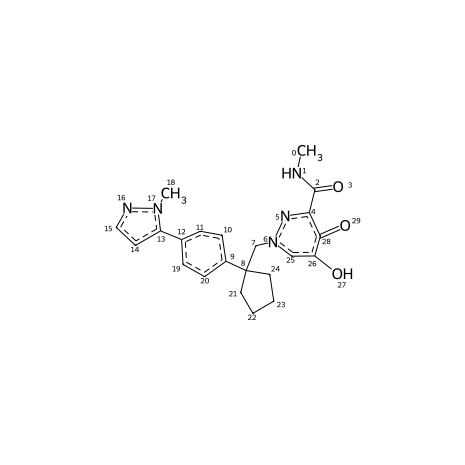 CNC(=O)c1nn(CC2(c3ccc(-c4ccnn4C)cc3)CCCC2)cc(O)c1=O